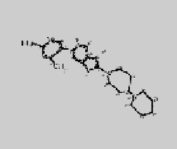 Cc1nc(N)ncc1-c1cc2sc(N3CCC(N4CCCCC4)CC3)nc2cn1